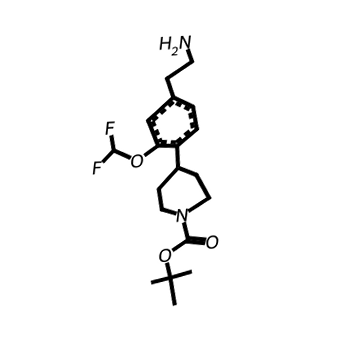 CC(C)(C)OC(=O)N1CCC(c2ccc(CCN)cc2OC(F)F)CC1